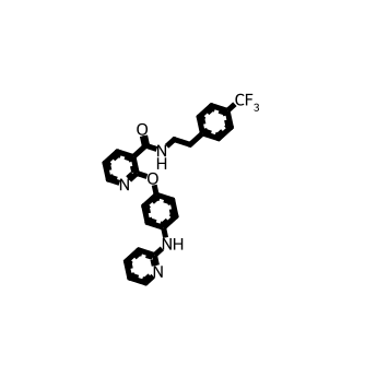 O=C(NCCc1ccc(C(F)(F)F)cc1)c1cccnc1Oc1ccc(Nc2ccccn2)cc1